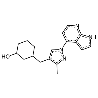 Cc1nn(-c2ccnc3[nH]ccc23)cc1CC1CCCC(O)C1